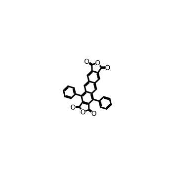 O=c1oc(=O)c2cc3cc4c(-c5ccccc5)c5c(=O)oc(=O)c5c(-c5ccccc5)c4cc3cc12